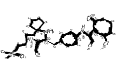 CS(=O)(=O)CCCCC1(N[C@@H](Cc2ccc(NC(=O)c3c(Cl)cccc3Cl)cc2)C(=O)O)CCCC1